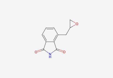 O=C1NC(=O)c2c(CC3CO3)cccc21